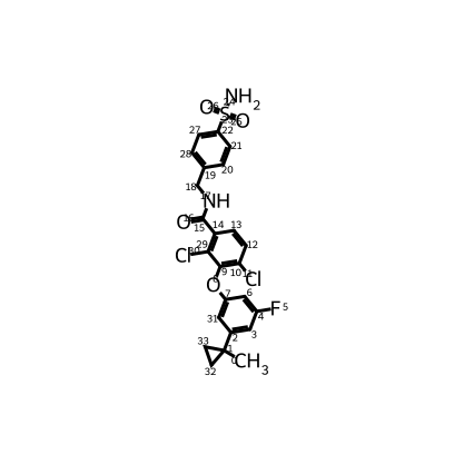 CC1(c2cc(F)cc(Oc3c(Cl)ccc(C(=O)NCc4ccc(S(N)(=O)=O)cc4)c3Cl)c2)CC1